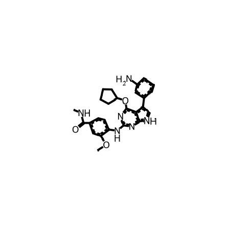 CNC(=O)c1ccc(Nc2nc(OC3CCCC3)c3c(-c4cccc(N)c4)c[nH]c3n2)c(OC)c1